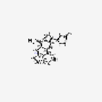 C=C/C(=C\N(C)C)c1cnn2c(N)c(/C=C/COC)c(C3CCCNC3)nc12